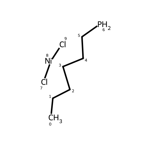 CCCCCCP.[Cl][Ni][Cl]